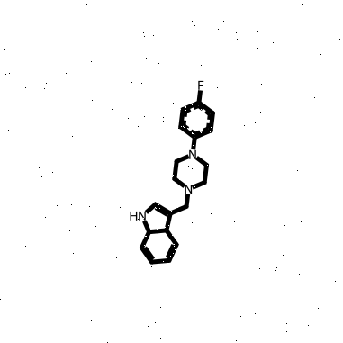 Fc1ccc(N2CCN(CC3=CNC4C=CC=CC34)CC2)cc1